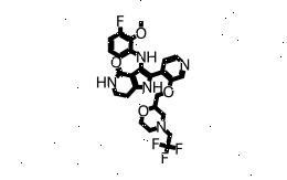 COc1c(F)cccc1Nc1c(-c2ccncc2OCC2CN(CC(F)(F)F)CCO2)[nH]c2c1C(=O)NCC2